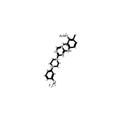 CC(=O)Nc1c(C)ccc(Nc2ncnc(N3CCN(c4cccc(OC(F)(F)F)c4)CC3)n2)c1C